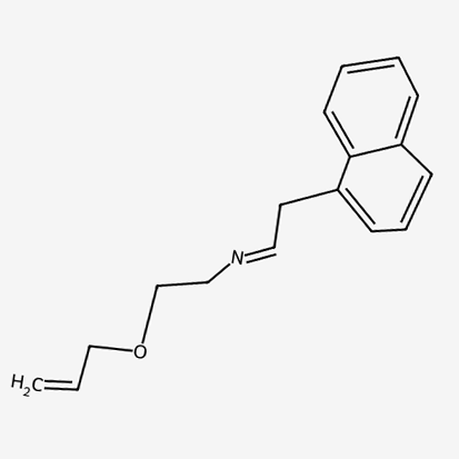 C=CCOCCN=CCc1cccc2ccccc12